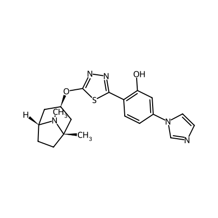 CN1[C@@H]2CC[C@@]1(C)C[C@H](Oc1nnc(-c3ccc(-n4ccnc4)cc3O)s1)C2